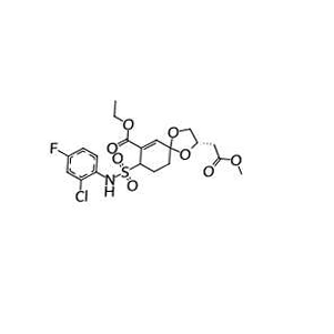 CCOC(=O)C1=CC2(CCC1S(=O)(=O)Nc1ccc(F)cc1Cl)OC[C@H](CC(=O)OC)O2